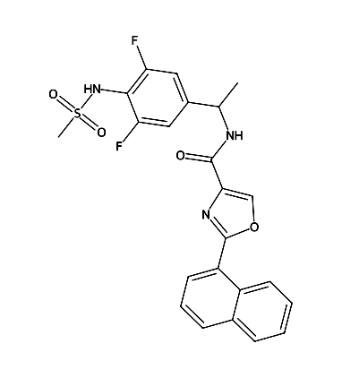 CC(NC(=O)c1coc(-c2cccc3ccccc23)n1)c1cc(F)c(NS(C)(=O)=O)c(F)c1